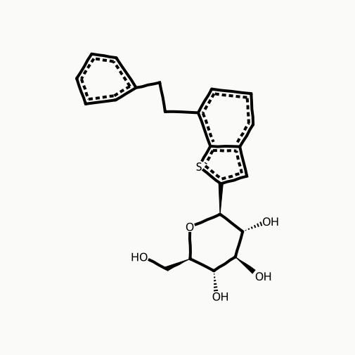 OC[C@H]1O[C@@H](c2cc3cccc(CCc4ccccc4)c3s2)[C@H](O)[C@@H](O)[C@@H]1O